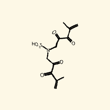 C=C(C)C(=O)C(=O)CN(CC(=O)C(=O)C(=C)C)S(=O)(=O)O